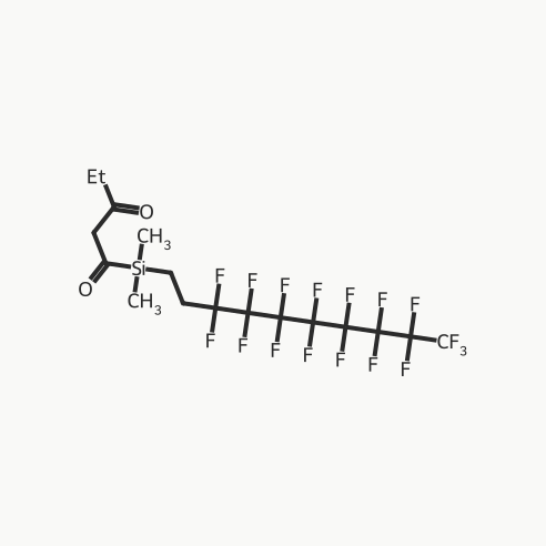 CCC(=O)CC(=O)[Si](C)(C)CCC(F)(F)C(F)(F)C(F)(F)C(F)(F)C(F)(F)C(F)(F)C(F)(F)C(F)(F)F